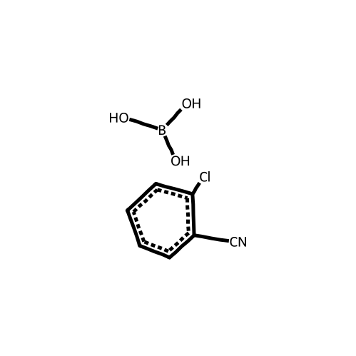 N#Cc1ccccc1Cl.OB(O)O